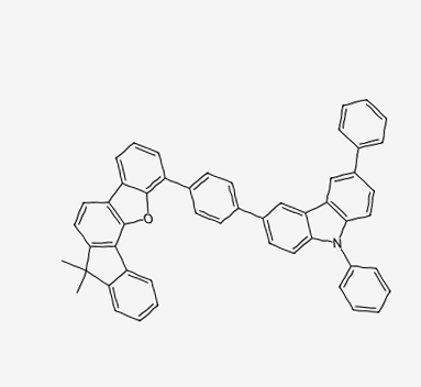 CC1(C)c2ccccc2-c2c1ccc1c2oc2c(-c3ccc(-c4ccc5c(c4)c4cc(-c6ccccc6)ccc4n5-c4ccccc4)cc3)cccc21